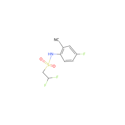 N#Cc1cc(F)[c]cc1NS(=O)(=O)CC(F)F